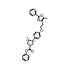 Cc1oc(-c2ccccc2)nc1CCOc1ccc([C@H]2CN(C(=O)Oc3ccccc3)C[C@H]2C)cc1